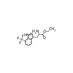 CCOC(=O)C(N)Cc1n[nH]c2c(C(F)(F)F)cccc12